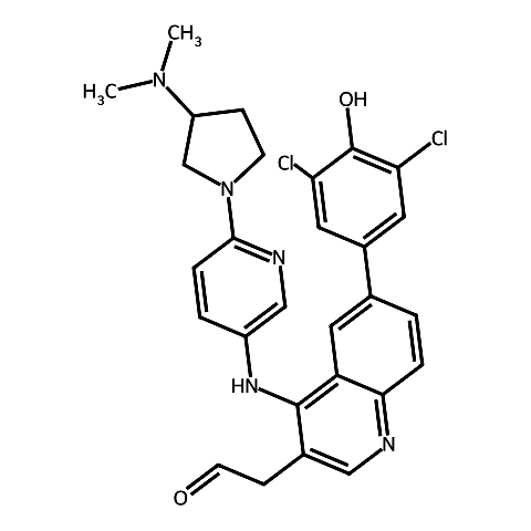 CN(C)C1CCN(c2ccc(Nc3c(CC=O)cnc4ccc(-c5cc(Cl)c(O)c(Cl)c5)cc34)cn2)C1